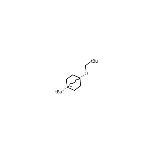 CC(C)(C)CO[C@]12CC[C@](C(C)(C)C)(CC1)CC2